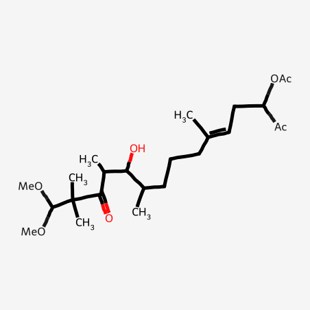 COC(OC)C(C)(C)C(=O)C(C)C(O)C(C)CCC/C(C)=C/CC(OC(C)=O)C(C)=O